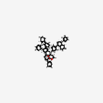 c1ccc(-c2ccc(-c3ccc(N(c4ccccc4)c4ccc(-c5ccccc5-n5c6ccccc6c6ccccc65)cc4-c4ccc5c(c4)sc4ccccc45)cc3)c3ccccc23)cc1